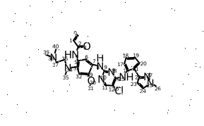 C=CC(=O)Nc1cc(Nc2ncc(Cl)c(Nc3ccccc3-c3ccn(C)n3)n2)c(OC)cc1N(C)CCN(C)C